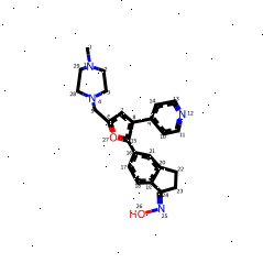 CN1CCN(Cc2cc(-c3ccncc3)c(-c3ccc4c(c3)CC/C4=N/O)o2)CC1